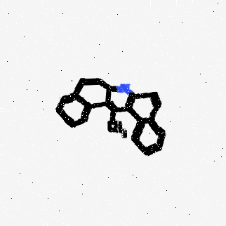 Cc1c2c(ccc3ccccc32)nc2ccc3ccccc3c12